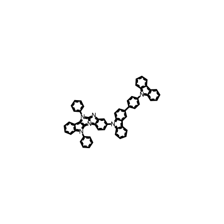 c1ccc(-n2c3c4ccccc4n(-c4ccccc4)c3n3c4ccc(-n5c6ccccc6c6cc(-c7ccc(-n8c9ccccc9c9ccccc98)cc7)ccc65)cc4nc23)cc1